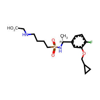 C[C@@H](NS(=O)(=O)CCCCNCC(=O)O)c1ccc(F)c(OCC2CC2)c1